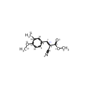 COC(=O)/C(C#N)=C/c1ccc(OC)c(C)c1